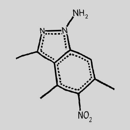 Cc1cc2c(c(C)nn2N)c(C)c1[N+](=O)[O-]